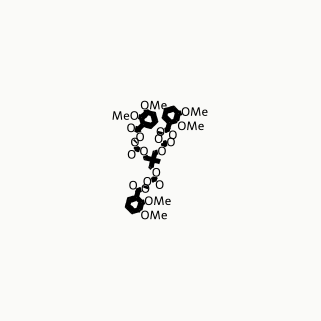 COc1cccc(C(=O)OOC(=O)OCC(C)(COC(=O)OOC(=O)c2cccc(OC)c2OC)COC(=O)OOC(=O)c2cccc(OC)c2OC)c1OC